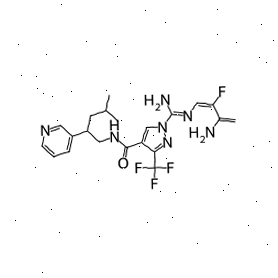 C=C(N)/C(F)=C\N=C(/N)n1cc(C(=O)NCC(CC(C)C)c2cccnc2)c(C(F)(F)F)n1